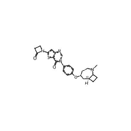 CN1CCC(Oc2ccc(-n3cnc4cc(N5CCC5=O)sc4c3=O)cc2)C[C@@H]2CCC21